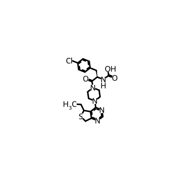 CCC1SCc2ncnc(N3CCN(C(=O)[C@@H](Cc4ccc(Cl)cc4)NC(=O)O)CC3)c21